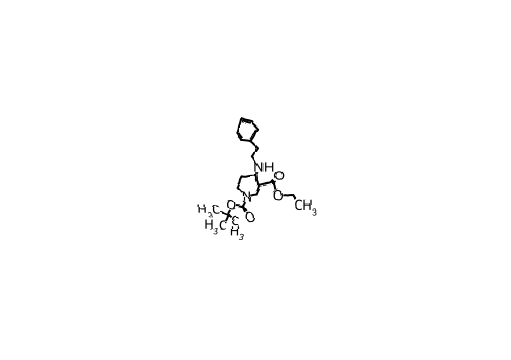 CCOC(=O)C1CN(C(=O)OC(C)(C)C)CC[C@H]1NCCc1ccccc1